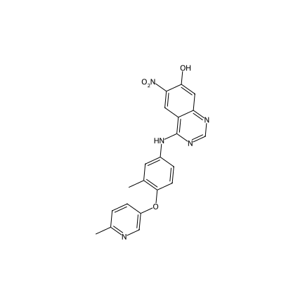 Cc1ccc(Oc2ccc(Nc3ncnc4cc(O)c([N+](=O)[O-])cc34)cc2C)cn1